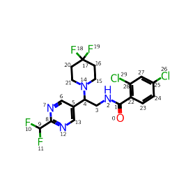 O=C(NCC(c1cnc(C(F)F)nc1)N1CCC(F)(F)CC1)c1ccc(Cl)cc1Cl